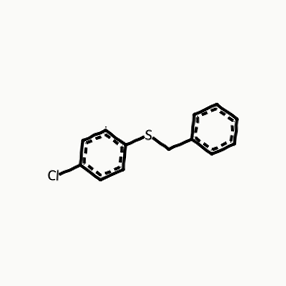 Clc1c[c]c(SCc2ccccc2)cc1